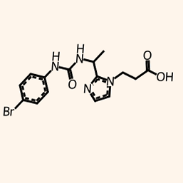 CC(NC(=O)Nc1ccc(Br)cc1)c1nccn1CCC(=O)O